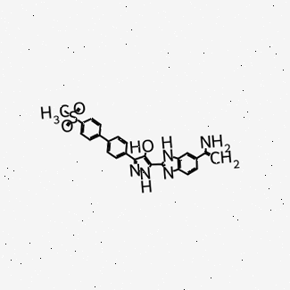 C=C(N)c1ccc2nc(-c3[nH]nc(-c4ccc(-c5ccc(S(C)(=O)=O)cc5)cc4)c3O)[nH]c2c1